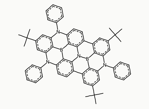 CC(C)(C)c1cc2c3c(c1)N(c1ccccc1)c1cc(C(C)(C)C)cc4c1B3N1c3c-2ccc2c3B3c5c(cc(C(C)(C)C)cc5N(c5ccccc5)c5ccc-4c1c53)N2c1ccccc1